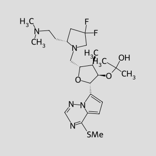 CSc1ncnn2c([C@@H]3O[C@H](CN4CC(F)(F)C[C@H]4CCN(C)C)[C@@H](C)[C@H]3OC(C)(C)O)ccc12